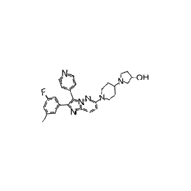 Cc1cc(F)cc(-c2nc3ccc(N4CCC(N5CCC(O)C5)CC4)nn3c2-c2ccncc2)c1